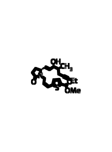 CCC#CC[C@H](C)[C@H](O)/C=C/[C@H]1CCC(=O)N1C/C=C\c1ccc(C(=O)OC)s1